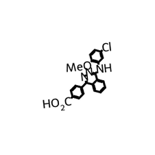 COc1ccc(Cl)cc1Nc1nnc(-c2ccc(C(=O)O)cc2)c2ccccc12